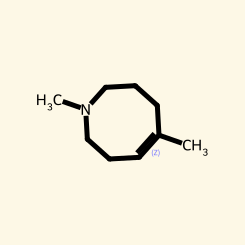 C/C1=C/CCN(C)CCC1